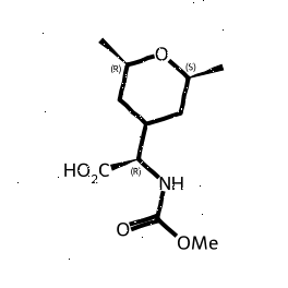 COC(=O)N[C@@H](C(=O)O)C1C[C@@H](C)O[C@@H](C)C1